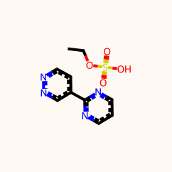 CCOS(=O)(=O)O.c1cnc(-c2ccnnc2)nc1